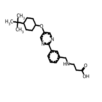 CC(C)(C)C1CCC(Oc2cnc(-c3cccc(CNCCC(=O)O)c3)nc2)CC1